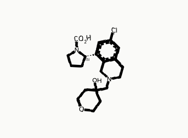 O=C(O)N1CCC[C@H]1c1cc(Cl)cc2c1CN(CC1(O)CCOCC1)CC2